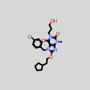 Cn1c(=O)n(CCCO)c(=O)c2c1nc(OCCC1CCCC1)n2Cc1ccc(Cl)cc1